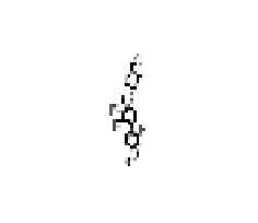 CCOc1ccc(-c2ccc(OCC3CCC(C=O)CC3)c(F)c2F)c(F)c1